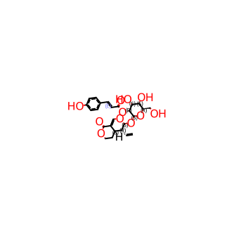 C=C[C@H]1[C@H](O[C@@H]2O[C@H](CO)[C@@H](O)[C@H](O)[C@H]2OC(=O)/C=C/c2ccc(O)cc2)OC=C2C(=O)OCC[C@H]21